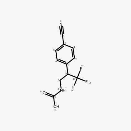 N#Cc1ccc(C(CNC(=O)O)C(F)(F)F)cc1